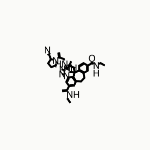 C=C(NCC)c1ccc2c(c1)CCc1cc(C(=O)NCC)ccc1C2(CC(C)(C)NCC(=C)N1CCCC1C#N)c1nnn[nH]1